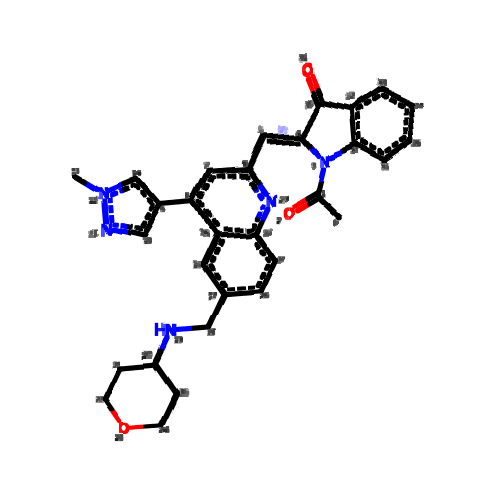 CC(=O)N1/C(=C\c2cc(-c3cnn(C)c3)c3cc(CNC4CCOCC4)ccc3n2)C(=O)c2ccccc21